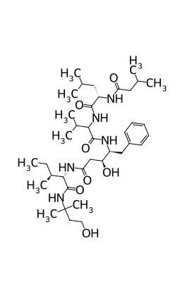 CC[C@H](C)[C@H](NC(=O)C[C@H](O)[C@H](Cc1ccccc1)NC(=O)C(NC(=O)[C@H](CC(C)C)NC(=O)CC(C)C)C(C)C)C(=O)NC(C)(C)CCO